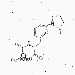 COC(=O)C(Cc1cccc(N2CCCC2=O)c1)NC(=O)OC(C)(C)C